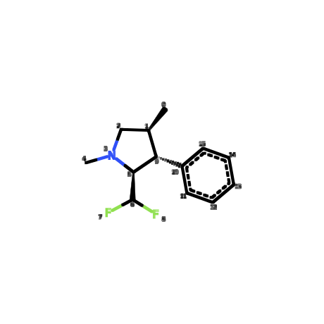 C[C@@H]1CN(C)[C@H](C(F)F)[C@H]1c1ccccc1